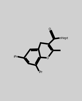 CCCCCCCC(=O)C1=C(C)Oc2c(cc(C(C)C)cc2C(C)C)C1